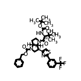 CC(C)(C)OC(=O)N[C@H](C(=O)N1CC[C@@H]2[C@H]1[C@@H](c1csc(-c3cccc(C(F)(F)F)c3)n1)CN2C(=O)OCc1ccccc1)C(C)(C)C